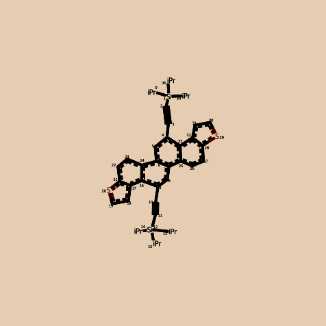 CC(C)[Si](C#Cc1cc2c(cc(C#C[Si](C(C)C)(C(C)C)C(C)C)c3c4ccsc4ccc23)c2ccc3sccc3c12)(C(C)C)C(C)C